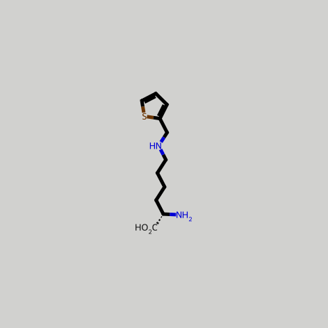 N[C@@H](CCCCNCc1cccs1)C(=O)O